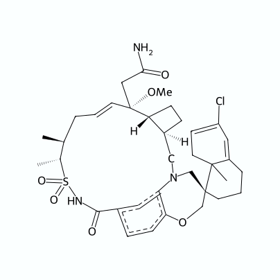 CO[C@@]1(CC(N)=O)/C=C/C[C@H](C)[C@@H](C)S(=O)(=O)NC(=O)c2ccc3c(c2)N(C[C@@H]2CC[C@H]21)C[C@@]1(CCCC2=CC(Cl)=CCC21C)CO3